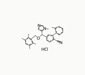 Cc1ccccc1-c1cc(C(OCc2c(C)c(C)cc(C)c2C)c2cncn2C)ccc1C#N.Cl